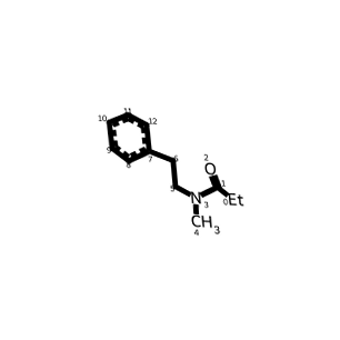 [CH2]CC(=O)N(C)CCc1ccccc1